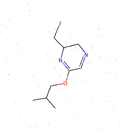 CC(C)COC1=NC(CI)CN=C1